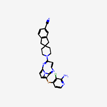 CN1C2=CC=C(Sc3ccnc(N)c3Cl)/C1=N/C=C/C(N1CCC3(CC1)Cc1ccc(C#N)cc1C3)=N\2